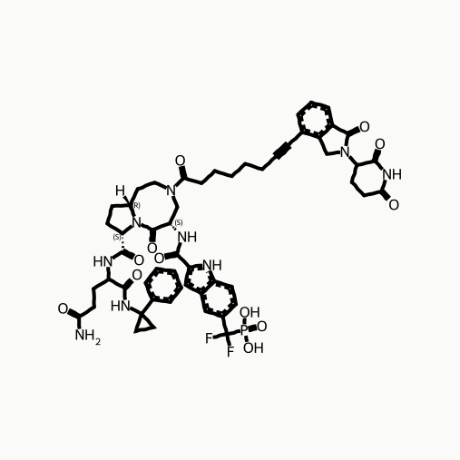 NC(=O)CCC(NC(=O)[C@@H]1CC[C@@H]2CCN(C(=O)CCCCCC#Cc3cccc4c3CN(C3CCC(=O)NC3=O)C4=O)C[C@H](NC(=O)c3cc4cc(C(F)(F)P(=O)(O)O)ccc4[nH]3)C(=O)N21)C(=O)NC1(c2ccccc2)CC1